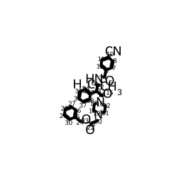 CC(C)(NC(=O)c1ccc(C#N)cc1)C(C(=O)N1CCN(CC(=O)OCc2ccccc2)CC1)c1ccccc1